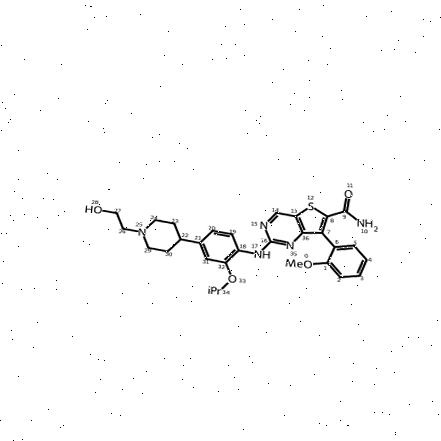 COc1ccccc1-c1c(C(N)=O)sc2cnc(Nc3ccc(C4CCN(CCO)CC4)cc3OC(C)C)nc12